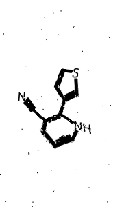 N#CC1=C(c2ccsc2)NC=CC1